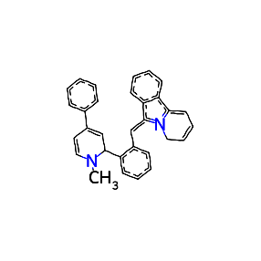 CN1C=CC(c2ccccc2)=CC1c1ccccc1/C=c1/c2ccccc2c2n1CC=CC=2